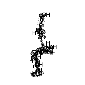 COc1cc2c(cc1OCCCCCOC1CC3NC(O)[C@@H]4CC5(CC5)CN4C(=O)C3(Cc3ccc(NC(=O)[C@H](C)NC(=O)[C@@H](NC(=O)CNC(=O)CNC(=O)CCC(=O)N4Cc5ccccc5C#Cc5ccccc54)C(C)C)cc3)CC1OC)NC[C@@H]1CC(c3ccc(C4CCN(C(=O)CO)CC4)cc3)=CN1C2=O